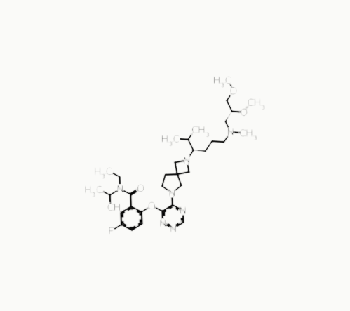 CCN(C(=O)c1cc(F)ccc1Oc1nncnc1N1CCC2(C1)CN([C@H](CCCN(C)C[C@@H](COC)OC)C(C)C)C2)C(C)C